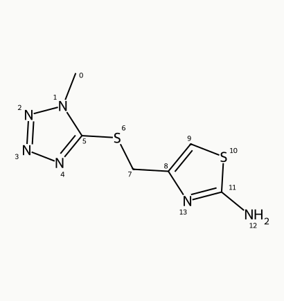 Cn1nnnc1SCc1csc(N)n1